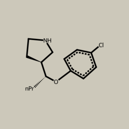 CCC[C@@H](Oc1ccc(Cl)cc1)[C@H]1CCNC1